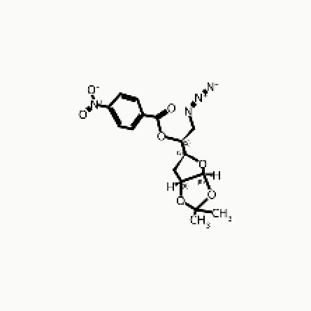 CC1(C)O[C@H]2O[C@H]([C@H](CN=[N+]=[N-])OC(=O)c3ccc([N+](=O)[O-])cc3)C[C@H]2O1